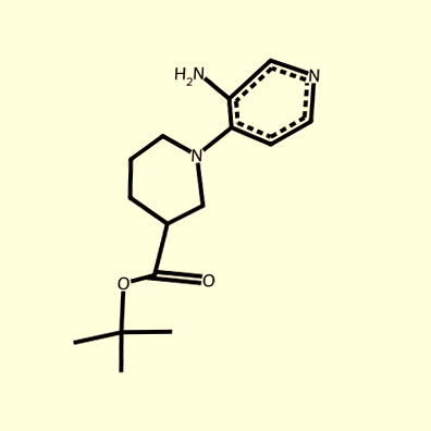 CC(C)(C)OC(=O)C1CCCN(c2ccncc2N)C1